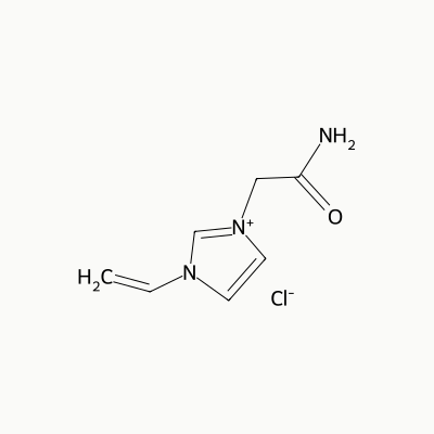 C=Cn1cc[n+](CC(N)=O)c1.[Cl-]